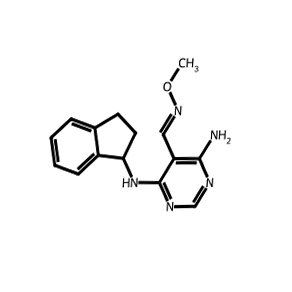 CON=Cc1c(N)ncnc1NC1CCc2ccccc21